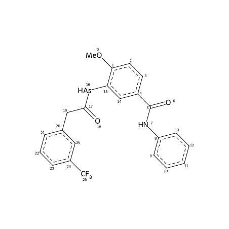 COc1ccc(C(=O)Nc2ccccc2)cc1[AsH]C(=O)Cc1cccc(C(F)(F)F)c1